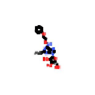 CSc1nc(NOCCOc2ccccc2)c2ncn([C@@H]3O[C@H](CO)C(O)C3O)c2n1